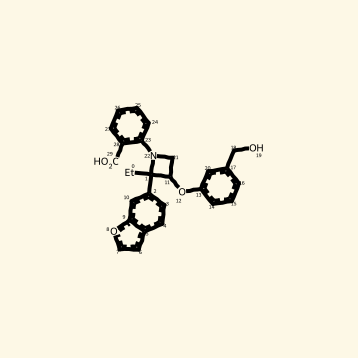 CCC1(c2ccc3ccoc3c2)C(Oc2cccc(CO)c2)CN1c1ccccc1C(=O)O